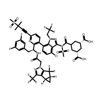 CC(C)(C#Cc1ccc(-c2ccc(Cl)c3c(N(C(=O)C4C[C@@H](C(=O)O)C[C@@H](C(=O)O)C4)S(C)(=O)=O)nn(CC(F)(F)F)c23)c([C@H](Cc2cc(F)cc(F)c2)NC(=O)Cn2nc(C(F)(F)F)c3c2C(F)(F)[C@@H]2C[C@H]32)n1)S(C)(=O)=O